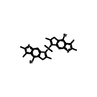 CC1=C([Si](C)(C)C2=C(C)Cc3c2cc2sc(C)c(C)c2c3Br)c2cc3sc(C)c(C)c3c(Br)c2C1